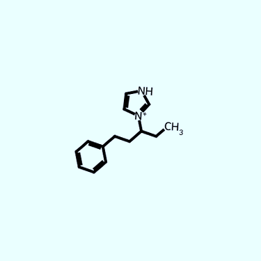 CCC(CCc1ccccc1)[n+]1cc[nH]c1